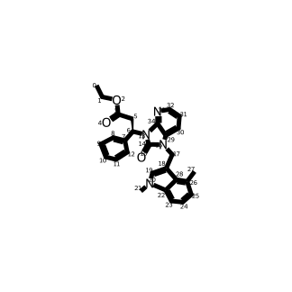 CCOC(=O)C[C@H](c1ccccc1)n1c(=O)n(Cc2cn(C)c3cccc(C)c23)c2cccnc21